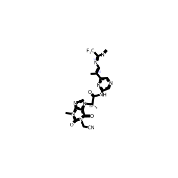 C=N/C(=N\C=C(/C)c1cncc(NC(=O)[C@H](C)n2cnc3c2c(=O)n(CC#N)c(=O)n3C)n1)C(F)(F)F